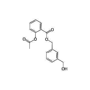 CC(=O)Oc1ccccc1C(=O)OCc1cccc(CO)c1